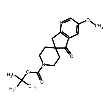 COc1cnc2c(c1)C(=O)C1(CCN(C(=O)OC(C)(C)C)CC1)C2